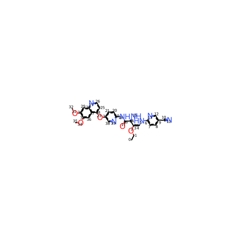 CCO/C(=C/Nc1ccc(C#N)cn1)C(=N)C(=O)Nc1ccc(Oc2ccnc3cc(OC)c(OC)cc23)cn1